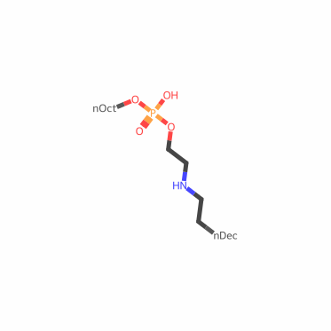 CCCCCCCCCCCCNCCOP(=O)(O)OCCCCCCCC